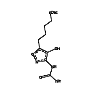 CCCCCCCCCCCCCCc1onc(NC(=O)CCC)c1O